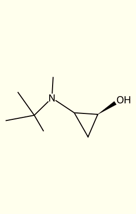 CN(C1C[C@@H]1O)C(C)(C)C